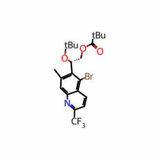 Cc1cc2nc(C(F)(F)F)ccc2c(Br)c1[C@@H](COC(=O)C(C)(C)C)OC(C)(C)C